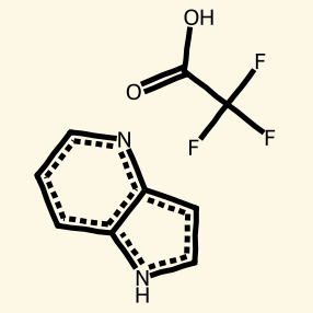 O=C(O)C(F)(F)F.c1cnc2cc[nH]c2c1